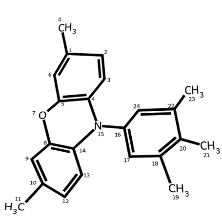 Cc1ccc2c(c1)Oc1cc(C)ccc1N2c1cc(C)c(C)c(C)c1